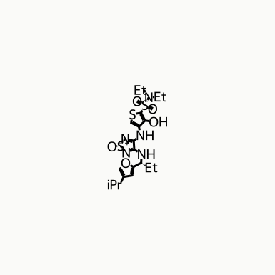 CC[C@@H](Nc1n[s+]([O-])nc1Nc1csc(S(=O)(=O)N(CC)CC)c1O)c1cc(C(C)C)co1